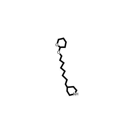 C(CCCCC1CCNCC1)CCCOC1CCCCO1